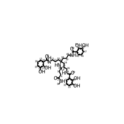 CBC(=O)CCC(=O)NC(CCCNC(=O)c1cccc(O)c1O)(CCCNC(=O)c1cccc(O)c1O)CCCNC(=O)c1cccc(O)c1O